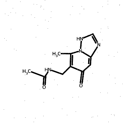 CC(=O)NCc1c(C)n2[nH]cnc2cc1=O